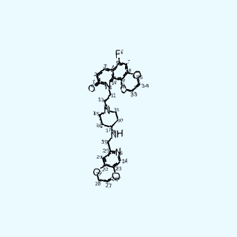 O=c1ccc2c(F)cc3c(c2n1CCN1CCC(NCc2cc4c(cn2)OCCO4)CC1)OCCO3